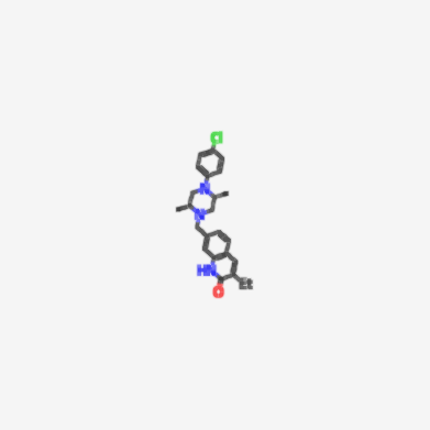 CCc1cc2ccc(CN3C[C@H](C)N(c4ccc(Cl)cc4)C[C@@H]3C)cc2[nH]c1=O